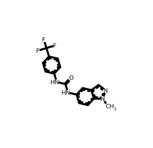 Cn1ncc2cc(NC(=O)Nc3ccc(C(F)(F)F)cc3)ccc21